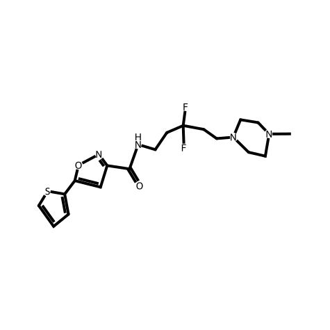 CN1CCN(CCC(F)(F)CCNC(=O)c2cc(-c3cccs3)on2)CC1